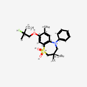 CCCC[C@]1(CC)CN(c2ccccc2)c2cc(SC)c(OCC(C)(F)C(=O)O)cc2S(=O)(=O)C1